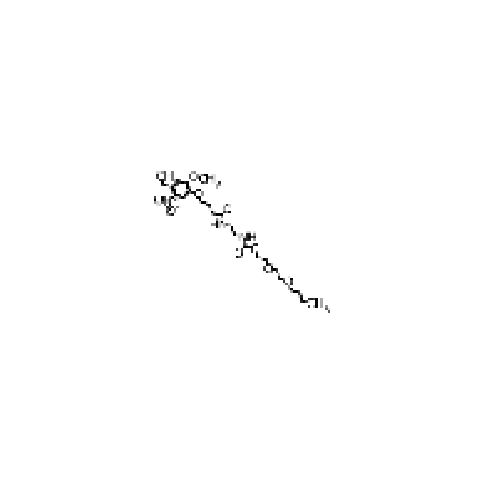 CCCCOCCOCCOC(=O)NCCNC(=O)CCCOc1cc([N+](=O)[O-])c(CC)cc1OC